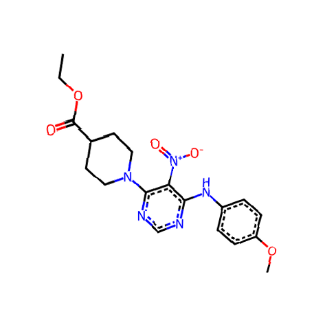 CCOC(=O)C1CCN(c2ncnc(Nc3ccc(OC)cc3)c2[N+](=O)[O-])CC1